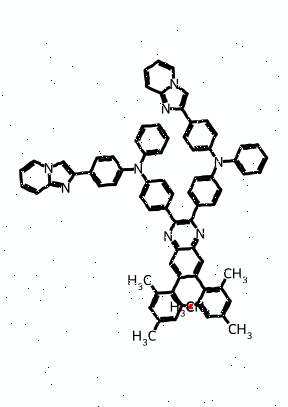 Cc1cc(C)c(-c2cc3nc(-c4ccc(N(c5ccccc5)c5ccc(-c6cn7ccccc7n6)cc5)cc4)c(-c4ccc(N(c5ccccc5)c5ccc(-c6cn7ccccc7n6)cc5)cc4)nc3cc2-c2c(C)cc(C)cc2C)c(C)c1